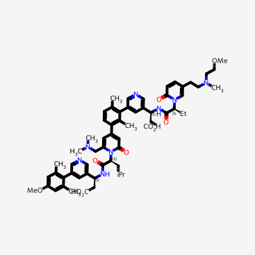 CC[C@@H](C(=O)N[C@@H](CC(=O)O)c1cncc(-c2c(C)ccc(-c3cc(CN(C)C)n([C@@H](CC(C)C)C(=O)N[C@@H](CC(=O)O)c4cncc(-c5c(C)cc(OC)cc5C)c4)c(=O)c3)c2C)c1)n1cc(CCN(C)CCOC)ccc1=O